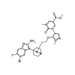 COC(=O)c1cc(-c2cnn(C)c2OCCN2CC3CCC(n4c(N)nc5cc(F)c(Br)cc54)(CC3)C2)c(=O)n(C)c1